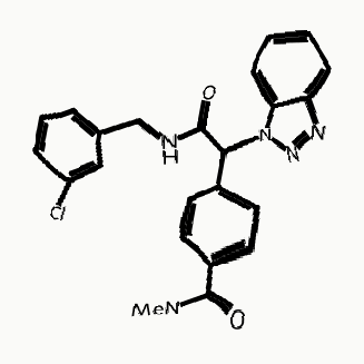 CNC(=O)c1ccc(C(C(=O)NCc2cccc(Cl)c2)n2nnc3ccccc32)cc1